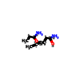 C=C=C.C=CC(N)=O.C=CC(N)=O